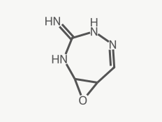 N=C1NN=CC2OC2N1